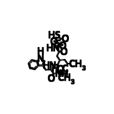 CNC(=O)C(Cc1c[nH]c2ccccc12)NC(=O)C(CC(=O)NS(=O)(=O)C(=O)S)CC(C)C